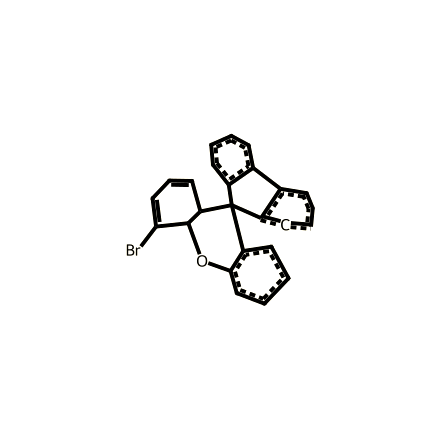 BrC1=CC=CC2C1Oc1ccccc1C21c2ccccc2-c2ccccc21